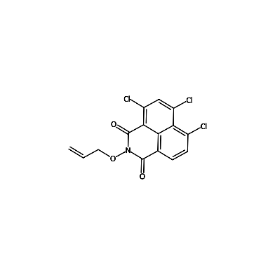 C=CCON1C(=O)c2ccc(Cl)c3c(Cl)cc(Cl)c(c23)C1=O